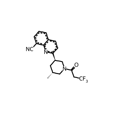 C[C@@H]1C[C@@H](c2ccc3cccc(C#N)c3n2)CN(C(=O)CC(F)(F)F)C1